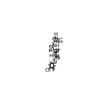 CC1NOC(CNC(=O)[C@@H]2C[C@H](NC(=O)COc3ccc(Cl)c(F)c3)C3CC2C3)N1